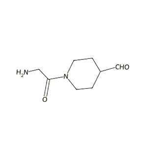 NCC(=O)N1CCC(C=O)CC1